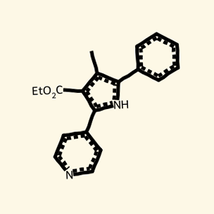 CCOC(=O)c1c(-c2ccncc2)[nH]c(-c2ccccc2)c1C